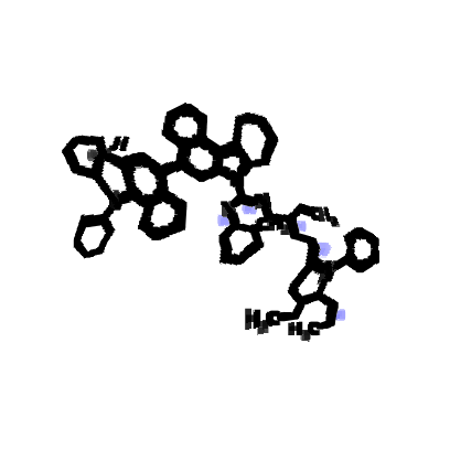 C=CC1=C(/C=C\C)N(c2ccccc2)/C(=C/C=C(\C=C)C/N=C(\N=C2\C=CC=CC2=C)n2c3c(c4c5ccccc5c(-c5cc6c(c7ccccc57)N(C5=CCCCC5)C5C=CC=C[C@@H]65)cc42)CCC=C3)C1